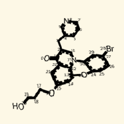 O=c1c(Cc2cccnc2)cn2c3c(cc(OCCCO)cc13)Oc1ccc(Br)cc1-2